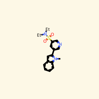 CCN(CC)S(=O)(=O)c1cncc(-c2cc3ccccc3n2C)c1